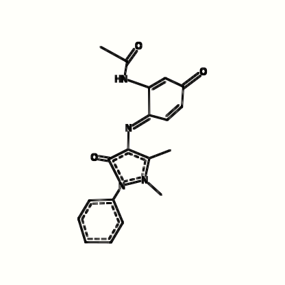 CC(=O)NC1=CC(=O)C=CC1=Nc1c(C)n(C)n(-c2ccccc2)c1=O